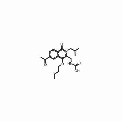 CCCCOc1c(CNC(=O)O)n(CC(C)C)c(=O)c2ccc(C(C)=O)cc12